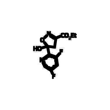 CCOC(=O)C1=NOC(O)(c2ncc(F)cc2F)C1